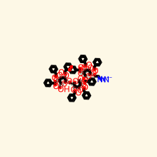 [N-]=[N+]=NCCO[C@@H]1O[C@H](CO[C@@H]2O[C@H](CO[C@@H]3O[C@H](CO)[C@@H](OC(=O)c4ccccc4)[C@H](OC(=O)c4ccccc4)[C@H]3OC(=O)c3ccccc3)[C@@H](OC(=O)c3ccccc3)[C@H](OC(=O)c3ccccc3)[C@H]2OC(=O)c2ccccc2)[C@@H](OC(=O)c2ccccc2)[C@H](OC(=O)c2ccccc2)[C@H]1OC(=O)c1ccccc1